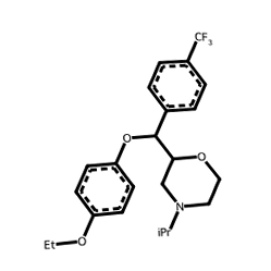 CCOc1ccc(OC(c2ccc(C(F)(F)F)cc2)C2CN(C(C)C)CCO2)cc1